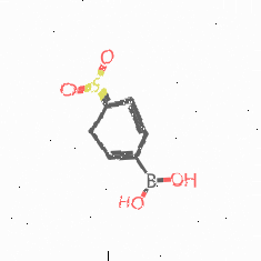 O=S(=O)=C1C=CC(B(O)O)=CC1